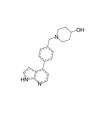 OC1CCN(Cc2ccc(-c3ccnc4[nH]ccc34)cc2)CC1